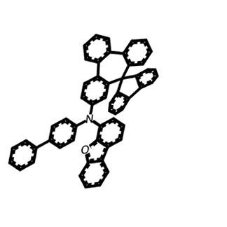 c1ccc(-c2ccc(N(c3ccc4c(c3)C3(c5ccccc5-c5ccccc5-4)c4ccccc4-c4ccccc43)c3cccc4c3oc3ccccc34)cc2)cc1